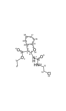 CCOC(=O)c1c(NC(=O)NCCCl)oc2ccccc12